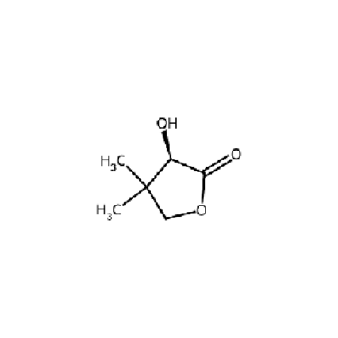 CC1(C)COC(=O)[C@@H]1O